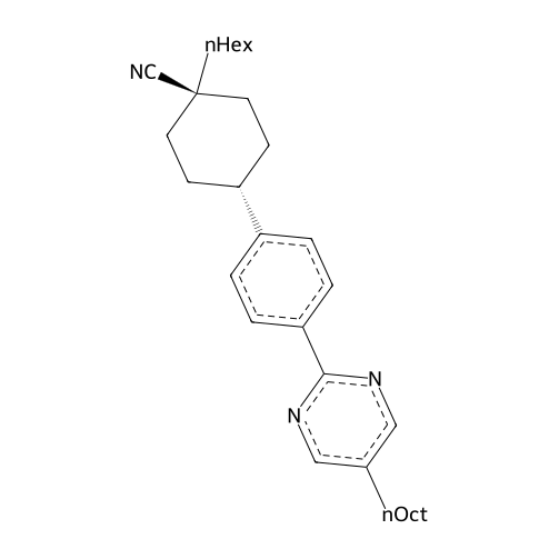 CCCCCCCCc1cnc(-c2ccc([C@H]3CC[C@@](C#N)(CCCCCC)CC3)cc2)nc1